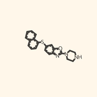 c1ccc2c(Sc3ccc4nc(N5CCNCC5)oc4c3)cccc2c1